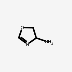 NC1COC=N1